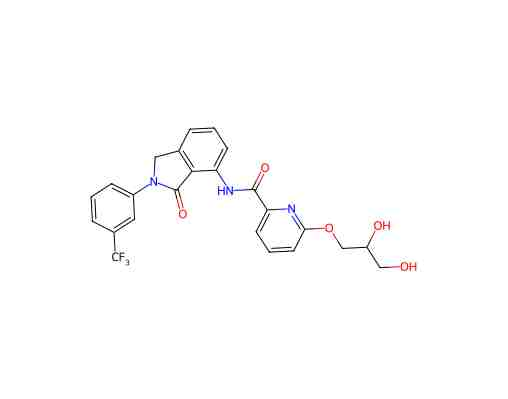 O=C(Nc1cccc2c1C(=O)N(c1cccc(C(F)(F)F)c1)C2)c1cccc(OCC(O)CO)n1